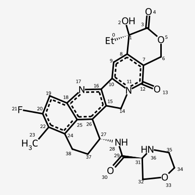 CC[C@]1(O)C(=O)OCc2c1cc1n(c2=O)Cc2c-1nc1cc(F)c(C)c3c1c2[C@H](NC(=O)[C@@H]1COCCN1)CC3